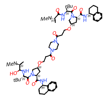 CN[C@@H](C)C(=O)N[C@H](C(=O)N1C[C@@H](OCCC(=O)N2CCN(C(=O)CCO[C@H]3C[C@@H](C(=O)N[C@@H]4CCCc5ccccc54)N(C(=O)[C@@H](NC(O)[C@H](C)NC)C(C)(C)C)C3)CC2)C[C@H]1C(=O)N[C@@H]1CCCc2ccccc21)C(C)(C)C